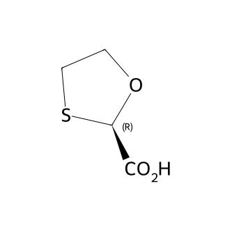 O=C(O)[C@@H]1OCCS1